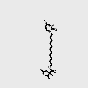 CC(C)CC(C)(C(=O)OCCCCCCCCCCCn1ccc(=S)[nH]c1=O)C(C)C